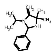 C=C1N(C(C)C)C(c2ccccc2)NC1(C)C